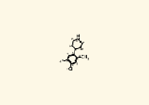 Cc1cc(Cl)c(F)cc1C1CCNCC1